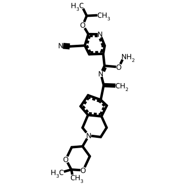 C=C(/N=C(\ON)c1cnc(OC(C)C)c(C#N)c1)c1ccc2c(c1)CCN(C1COC(C)(C)OC1)C2